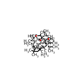 CNP(=NP(=NC(C)(C)CC(C)(C)C)(N=P(C(C)C)(N(C)C)N(C)C)N=P(N(C)C)(N(C)C)N(C)C)(N(C)C)N(C)C